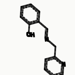 Oc1ccccc1C=NCc1ccccn1